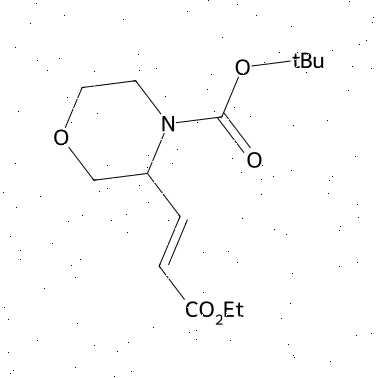 CCOC(=O)/C=C/C1COCCN1C(=O)OC(C)(C)C